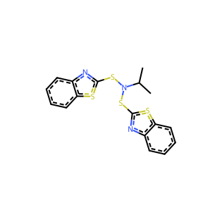 CC(C)N(Sc1nc2ccccc2s1)Sc1nc2ccccc2s1